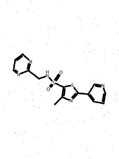 Cc1nc(-c2cccnc2)sc1S(=O)(=O)NCc1ncccn1